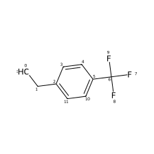 [CH]Cc1ccc(C(F)(F)F)cc1